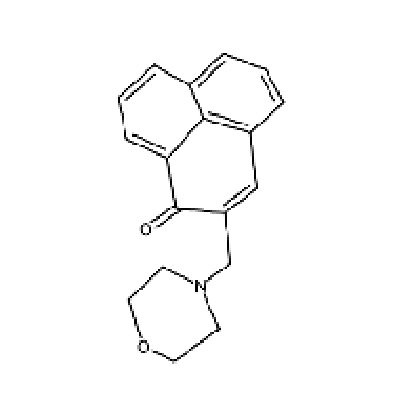 O=C1C(CN2CCOCC2)=Cc2cccc3cccc1c23